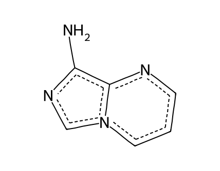 Nc1ncn2cccnc12